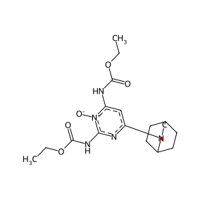 CCOC(=O)Nc1cc(N2CC3CCC(CC3)C2)nc(NC(=O)OCC)[n+]1[O-]